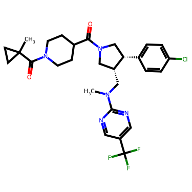 CN(C[C@@H]1CN(C(=O)C2CCN(C(=O)C3(C)CC3)CC2)C[C@@H]1c1ccc(Cl)cc1)c1ncc(C(F)(F)F)cn1